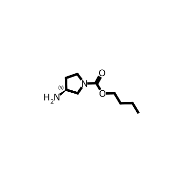 CCCCOC(=O)N1CC[C@H](N)C1